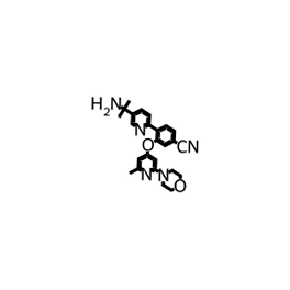 Cc1cc(Oc2cc(C#N)ccc2-c2ccc(C(C)(C)N)cn2)cc(N2CCOCC2)n1